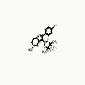 CN1CCn2nc(-c3ccc(F)cc3)c(B3OC(C)(C)C(C)(C)O3)c2C1